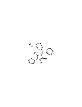 CCC1=C(CC)C(=C(c2ccccc2)c2ccccc2)[C]([Zr+2])=C1C1=CC=CC1.[Cl-].[Cl-]